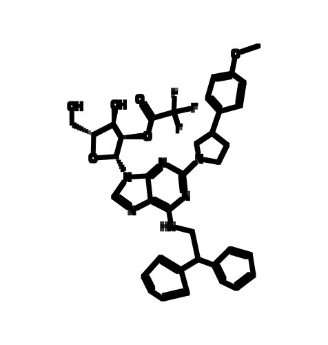 COc1ccc(C2CCN(c3nc(NCC(c4ccccc4)c4ccccc4)c4ncn([C@@H]5O[C@H](CO)[C@@H](O)[C@H]5OC(=O)C(F)(F)F)c4n3)C2)cc1